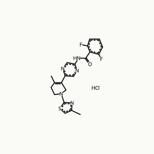 CC1=C(c2cnc(NC(=O)c3c(F)cccc3F)cn2)CN(c2nc(C)cs2)CC1.Cl